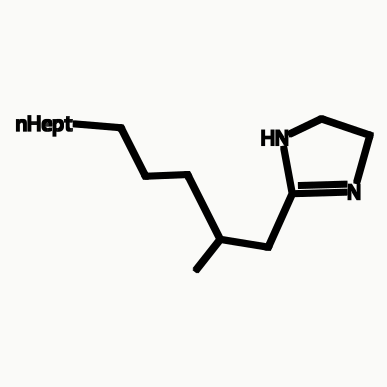 CCCCCCCCCCC(C)CC1=NCCN1